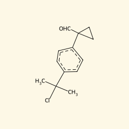 CC(C)(Cl)c1ccc(C2(C=O)CC2)cc1